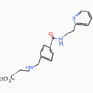 CCOC(=O)CCNCc1ccc(C(=O)NCCc2ccccn2)cc1